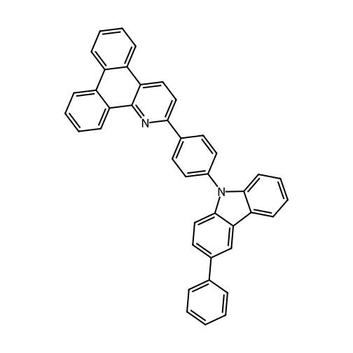 c1ccc(-c2ccc3c(c2)c2ccccc2n3-c2ccc(-c3ccc4c5ccccc5c5ccccc5c4n3)cc2)cc1